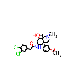 COc1cccc([C@@]23CCN(C)C[C@H]2C(O)C[C@H](NC(=O)Cc2ccc(Cl)c(Cl)c2)C3)c1